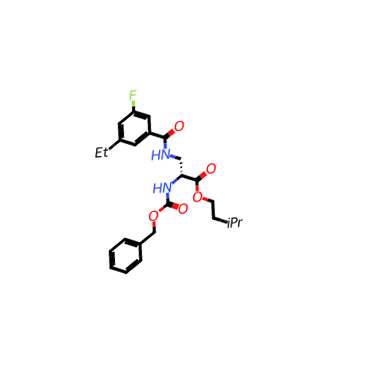 CCc1cc(F)cc(C(=O)NC[C@@H](NC(=O)OCc2ccccc2)C(=O)OCCC(C)C)c1